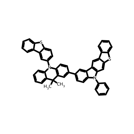 CC1(C)c2ccccc2N(c2ccc3sc4ccccc4c3c2)c2ccc(-c3ccc4c(c3)c3cc5c(cc3n4-c3ccccc3)sc3ccccc35)cc21